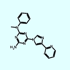 CN(c1ccccc1)c1nc(N)nc(-n2cnc(-c3[c]cccn3)c2)n1